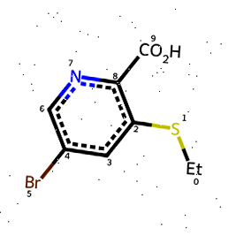 CCSc1cc(Br)cnc1C(=O)O